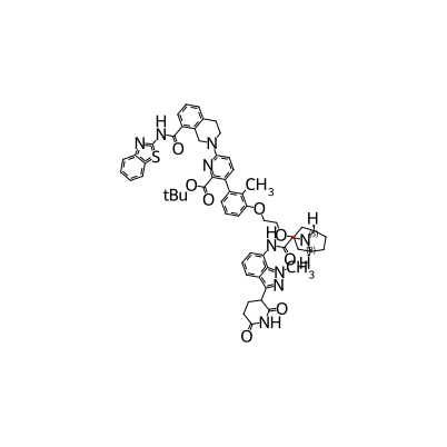 Cc1c(OCCOC2C[C@H]3CC[C@@H](C2)N3CC(=O)Nc2cccc3c(C4CCC(=O)NC4=O)nn(C)c23)cccc1-c1ccc(N2CCc3cccc(C(=O)Nc4nc5ccccc5s4)c3C2)nc1C(=O)OC(C)(C)C